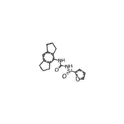 O=C(Nc1c2c(cc3c1CCC3)CCC2)N[S+]([O-])c1ccco1